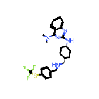 CN(C)c1nc(N[C@H]2CC[C@@H](CNCc3ccc(SC(F)(F)F)cc3)CC2)nc2ccccc12